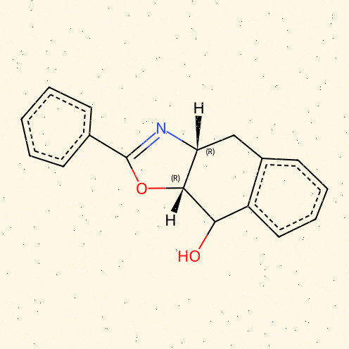 OC1c2ccccc2C[C@H]2N=C(c3ccccc3)O[C@@H]12